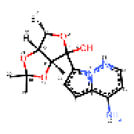 CC[C@H]1OC(O)(c2ccc3c(N)ccnn23)[C@]2(C)OC(C)(C)O[C@H]12